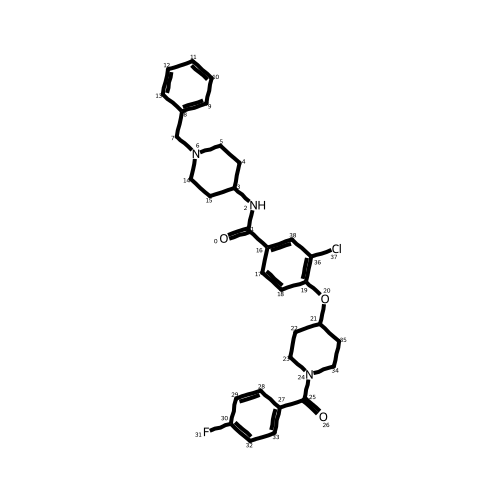 O=C(NC1CCN(Cc2ccccc2)CC1)c1ccc(OC2CCN(C(=O)c3ccc(F)cc3)CC2)c(Cl)c1